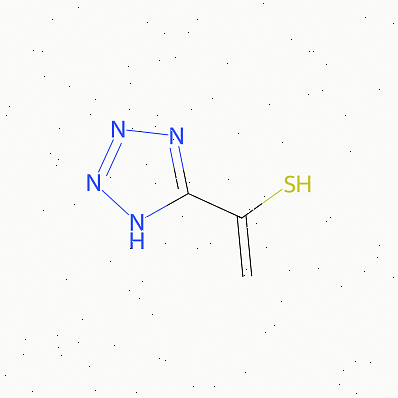 C=C(S)c1nnn[nH]1